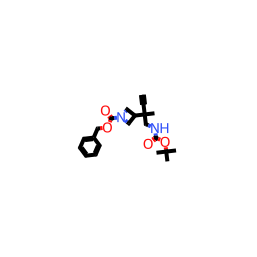 C#CC(C)(CNC(=O)OC(C)(C)C)C1CN(C(=O)OCc2ccccc2)C1